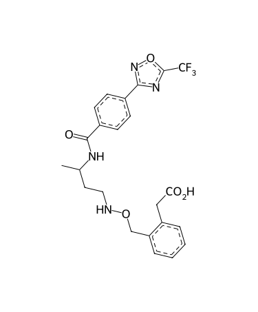 CC(CCNOCc1ccccc1CC(=O)O)NC(=O)c1ccc(-c2noc(C(F)(F)F)n2)cc1